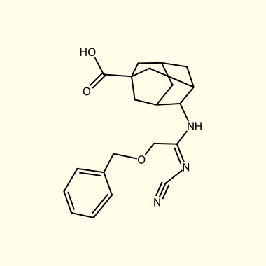 N#C/N=C(\COCc1ccccc1)NC1C2CC3CC1CC(C(=O)O)(C3)C2